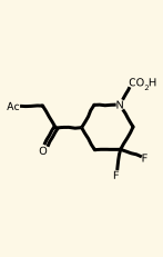 CC(=O)CC(=O)C1CN(C(=O)O)CC(F)(F)C1